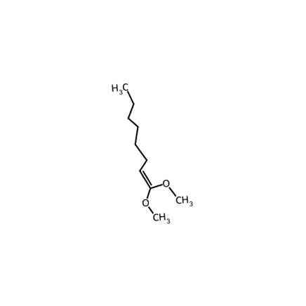 CCCCCCC=C(OC)OC